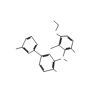 CN(c1cc(-c2cccc(F)c2)ccc1F)c1c(Cl)ccc(OCC(=O)O)c1Cl